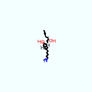 CC#CC[C@H](C)[C@H](O)/C=C/[C@@H]1[C@H]2CC(CCCCCN(C)C)=C[C@H]2C[C@H]1O